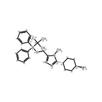 Cn1c(CO[Si](c2ccccc2)(c2ccccc2)C(C)(C)C)nnc1[C@H]1CC[C@H](N)CC1